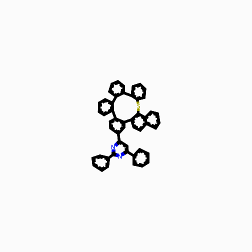 c1ccc(-c2cc(-c3ccc4c(c3)-c3ccc5ccccc5c3Sc3ccccc3-c3ccccc3-c3ccccc3-4)nc(-c3ccccc3)n2)cc1